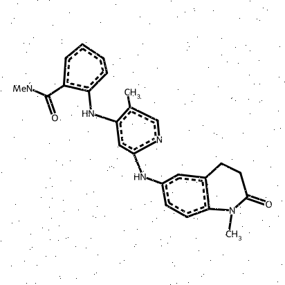 CNC(=O)c1ccccc1Nc1cc(Nc2ccc3c(c2)CCC(=O)N3C)ncc1C